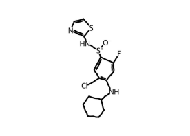 [O-][S+](Nc1nccs1)c1cc(Cl)c(NC2CCCCC2)cc1F